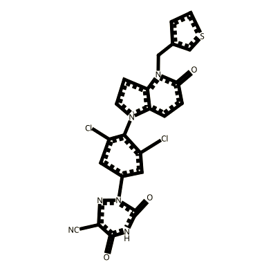 N#Cc1nn(-c2cc(Cl)c(-n3ccc4c3ccc(=O)n4Cc3ccsc3)c(Cl)c2)c(=O)[nH]c1=O